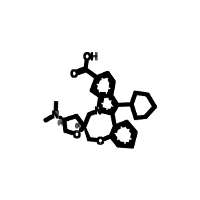 CN(C)[C@H]1CO[C@]2(COc3ccccc3-c3c(C4CCCCC4)c4ccc(C(=O)O)cc4n3C2)C1